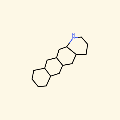 C1CCC2CC3CC4NCCCC4CC3CC2C1